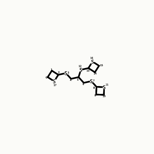 C1CC(SCC(CSC2CCS2)SC2CCS2)S1